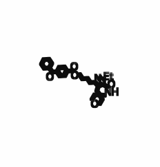 CCn1nc(CCCCOC(=O)c2ccc(C(=O)C3CCCCC3)cc2)c2c1C(=O)NCC1(CCOCC1)C2